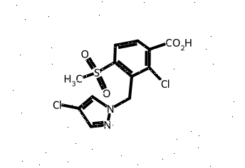 CS(=O)(=O)c1ccc(C(=O)O)c(Cl)c1Cn1cc(Cl)cn1